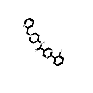 O=C(NC1CCN(Cc2ccccn2)CC1)c1cnc(-c2ccccc2Cl)nc1